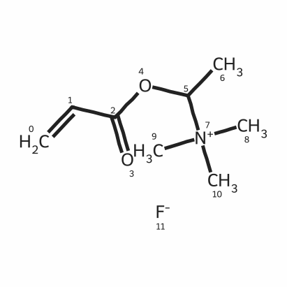 C=CC(=O)OC(C)[N+](C)(C)C.[F-]